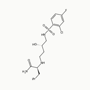 CC(C)C[C@H](NCC[C@H](O)CNS(=O)(=O)c1ccc(F)cc1Cl)C(N)=O